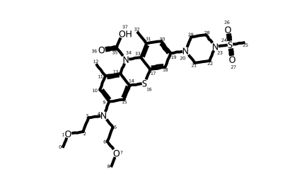 COCCN(CCOC)c1cc(C)c2c(c1)Sc1cc(N3CCN(S(C)(=O)=O)CC3)cc(C)c1N2C(=O)O